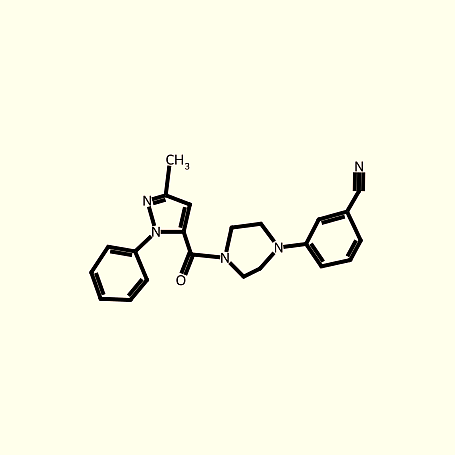 Cc1cc(C(=O)N2CCN(c3cccc(C#N)c3)CC2)n(-c2ccccc2)n1